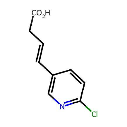 O=C(O)C/C=C/c1ccc(Cl)nc1